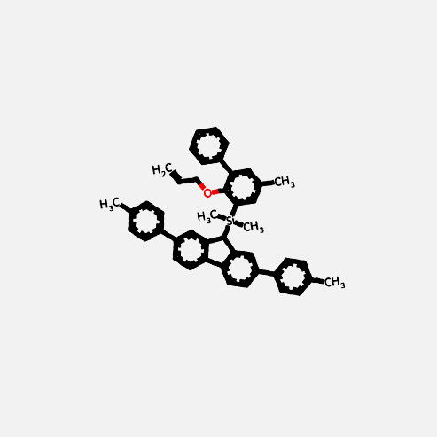 C=CCOc1c(-c2ccccc2)cc(C)cc1[Si](C)(C)C1c2cc(-c3ccc(C)cc3)ccc2-c2ccc(-c3ccc(C)cc3)cc21